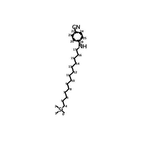 C[Si](C)(C)CCCCCCCCCCCCCCNc1ccc(C#N)cc1